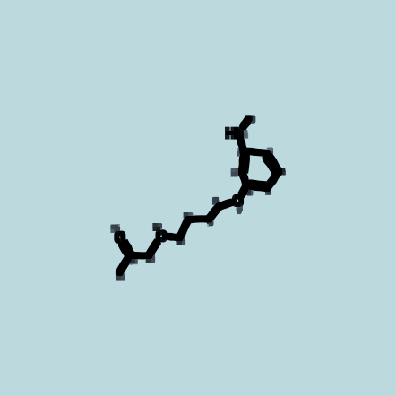 CNc1cccc(OCCCCOCC(C)=O)c1